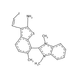 Cc1ccc2c(/C=C\I)c(N)sc2c1-c1n(C)c2ccccc2[n+]1C